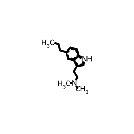 CCCc1ccc2[nH]cc(CCN(C)C)c2c1